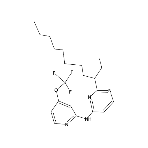 CCCCCCCCC(CC)c1nccc(Nc2cc(OC(F)(F)F)ccn2)n1